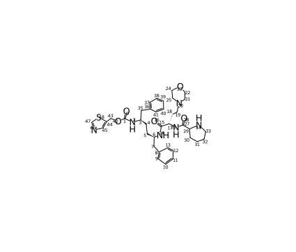 O=C(N[C@H](CC[C@H](Cc1ccccc1)NC(=O)[C@H](CCN1CCOCC1)NC(=O)C1CCCCN1)Cc1ccccc1)OCc1cncs1